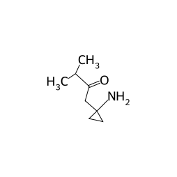 CC(C)C(=O)CC1(N)CC1